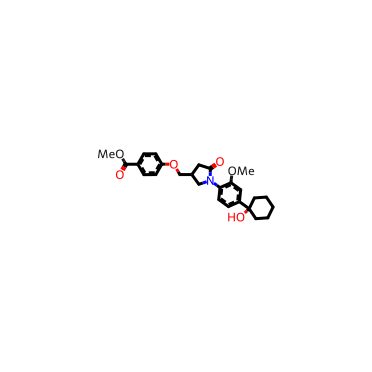 COC(=O)c1ccc(OCC2CC(=O)N(c3ccc(C4(O)CCCCC4)cc3OC)C2)cc1